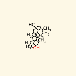 C#CC12CCC(C(=C)C)C1C1CCC3[C@@]4(C)CC[C@H](O)C(C)(C)C4CC[C@@]3(C)[C@]1(C)CC2